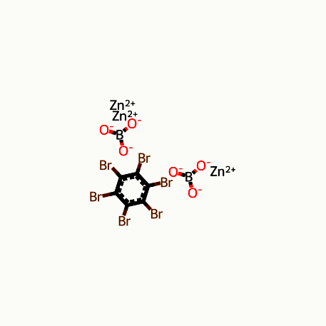 Brc1c(Br)c(Br)c(Br)c(Br)c1Br.[O-]B([O-])[O-].[O-]B([O-])[O-].[Zn+2].[Zn+2].[Zn+2]